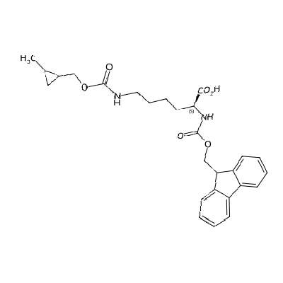 CC1CC1COC(=O)NCCCC[C@H](NC(=O)OCC1c2ccccc2-c2ccccc21)C(=O)O